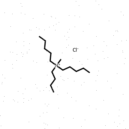 CCCCC[N+](C)(CCCC)CCCCC.[Cl-]